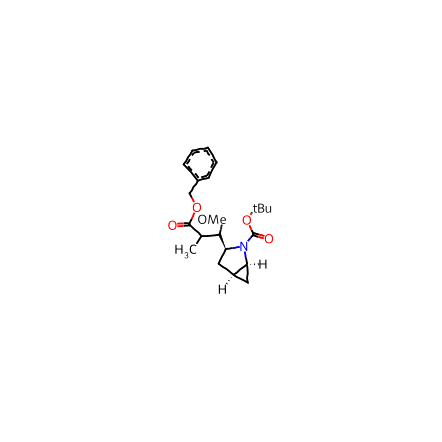 COC(C(C)C(=O)OCc1ccccc1)[C@@H]1C[C@@H]2C[C@@H]2N1C(=O)OC(C)(C)C